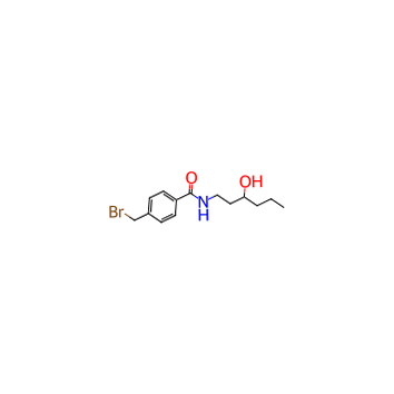 CCCC(O)CCNC(=O)c1ccc(CBr)cc1